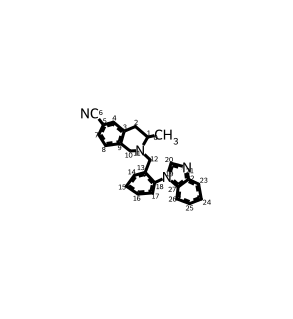 CC1Cc2cc(C#N)ccc2CN1Cc1ccccc1-n1cnc2ccccc21